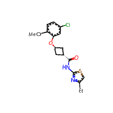 CCc1csc(NC(=O)[C@H]2C[C@H](Oc3cc(Cl)ccc3OC)C2)n1